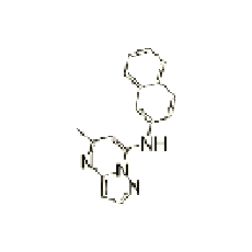 Cc1cc(Nc2ccc3ccccc3c2)n2nccc2n1